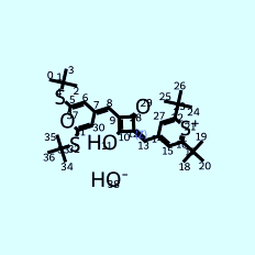 CC(C)(C)SC1=CC(=CC2=C(O)/C(=C/c3cc(C(C)(C)C)[s+]c(C(C)(C)C)c3)C2=O)C=C(SC(C)(C)C)O1.[OH-]